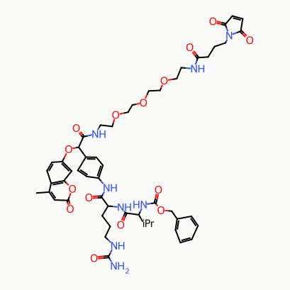 Cc1cc(=O)oc2cc(OC(C(=O)NCCOCCOCCOCCNC(=O)CCCN3C(=O)C=CC3=O)c3ccc(NC(=O)C(CCCNC(N)=O)NC(=O)C(NC(=O)OCc4ccccc4)C(C)C)cc3)ccc12